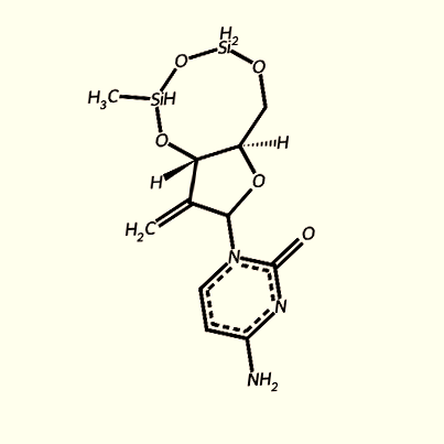 C=C1C(n2ccc(N)nc2=O)O[C@@H]2CO[SiH2]O[SiH](C)O[C@@H]12